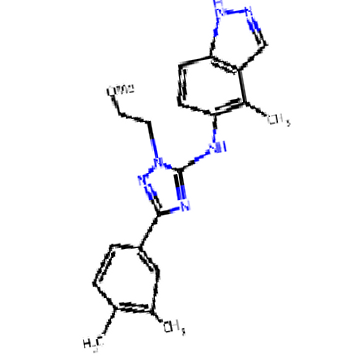 COCCn1nc(-c2ccc(C)c(C)c2)nc1Nc1ccc2[nH]ncc2c1C